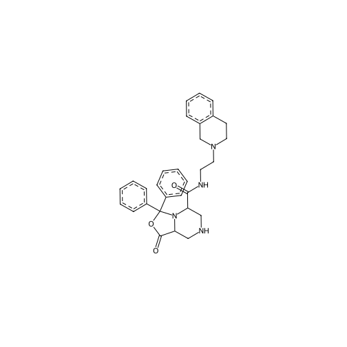 O=C(NCCN1CCc2ccccc2C1)C1CNCC2C(=O)OC(c3ccccc3)(c3ccccc3)N12